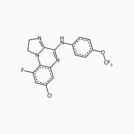 Fc1cc(Cl)cc2c1N1CCN=C1C(Nc1ccc(OC(F)(F)F)cc1)=N2